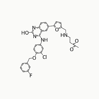 CS(=O)(=O)CCNCc1ccc(-c2ccc3nc(O)nc(Nc4ccc(OCc5cccc(F)c5)c(Cl)c4)c3c2)o1